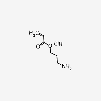 C=CC(=O)OCCCN.Cl